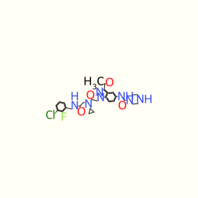 CC(=O)c1nn(CC(=O)N(CC(=O)NCc2cccc(Cl)c2F)C2CC2)c2ccc(NC(=O)N3CCNCC3)cc12